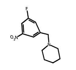 O=[N+]([O-])c1cc(F)cc(CN2CCCCC2)c1